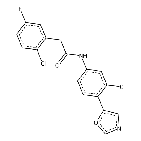 O=C(Cc1cc(F)ccc1Cl)Nc1ccc(-c2cnco2)c(Cl)c1